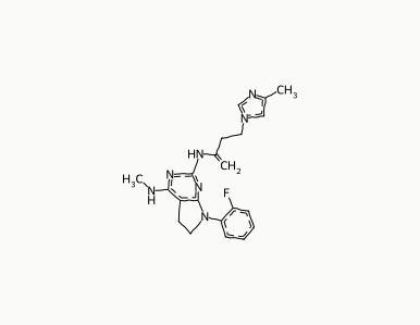 C=C(CCn1cnc(C)c1)Nc1nc(NC)c2c(n1)N(c1ccccc1F)CC2